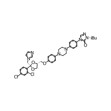 CC[C@@H](C)n1ncn(-c2ccc(N3CCN(c4ccc(OC[C@@H]5CO[C@@](Cn6ccnc6)(c6ccc(Cl)cc6Cl)O5)cc4)CC3)cc2)c1=O